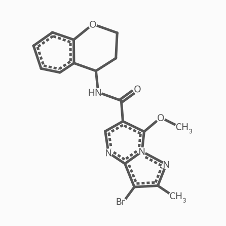 COc1c(C(=O)NC2CCOc3ccccc32)cnc2c(Br)c(C)nn12